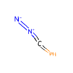 [N-]=[N+]=C=P